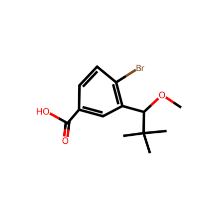 COC(c1cc(C(=O)O)ccc1Br)C(C)(C)C